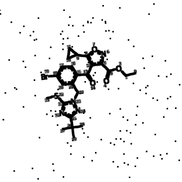 CCOC(=O)c1noc(C2CC2)c1C(=O)c1ccc(Br)cc1Cn1nc(C(C)(C)C)nc1SC